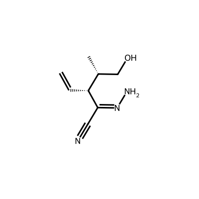 C=C[C@@H](/C(C#N)=N\N)[C@H](C)CO